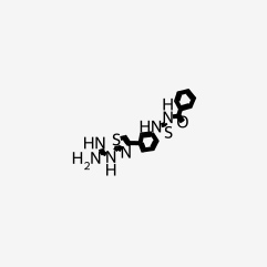 N=C(N)Nc1nc(-c2cccc(NC(=S)NC(=O)c3ccccc3)c2)cs1